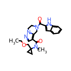 CCOCC1(N(C)C(=O)c2cnn3c2CN(C(=O)c2cc4ccccc4[nH]2)CC3)CC1